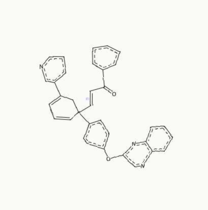 O=C(/C=C/C1(c2ccc(Oc3cnc4ccccc4n3)cc2)C=CC=C(c2cccnc2)C1)c1ccccc1